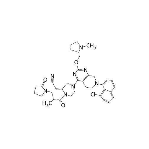 CC(CN1CCCC1=O)C(=O)N1CCN(c2nc(OC[C@@H]3CCCN3C)nc3c2CCN(c2cccc4cccc(Cl)c24)C3)C[C@@H]1CC#N